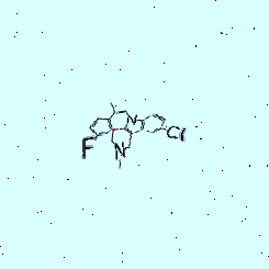 C/C(=C/n1c2c(c3cc(Cl)ccc31)CN(C)CC2)c1ccc(F)cc1